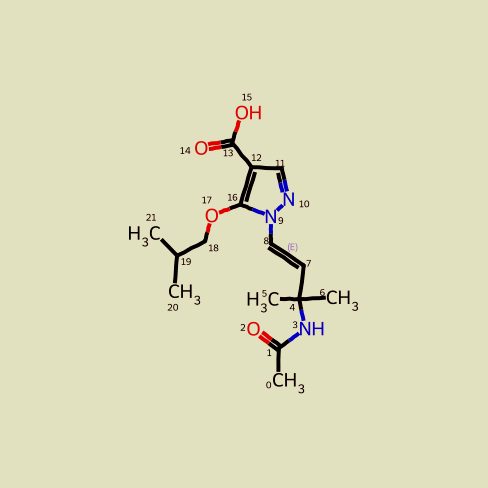 CC(=O)NC(C)(C)/C=C/n1ncc(C(=O)O)c1OCC(C)C